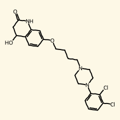 O=C1CC(O)c2ccc(OCCCCN3CCN(c4cccc(Cl)c4Cl)CC3)cc2N1